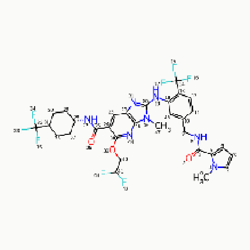 Cn1cccc1C(=O)NCc1ccc(C(F)(F)F)c(Nc2nc3cc(C(=O)N[C@H]4CC[C@H](C(F)(F)F)CC4)c(OCC(F)F)nc3n2C)c1